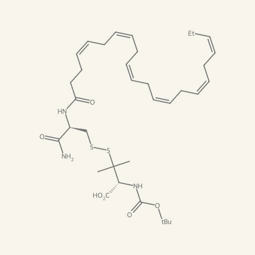 CC/C=C\C/C=C\C/C=C\C/C=C\C/C=C\C/C=C\CCC(=O)N[C@@H](CSSC(C)(C)[C@H](NC(=O)OC(C)(C)C)C(=O)O)C(N)=O